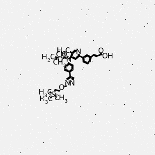 Cc1cnc(-c2cccc(C=CC(=O)O)c2)cc1N(C(=O)OC(C)(C)C)c1ccc(-c2cnn(COCC[Si](C)(C)C)c2)cc1